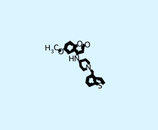 COc1ccc2oc(=O)cc(NC3CCN(Cc4cccc5sccc45)CC3)c2c1